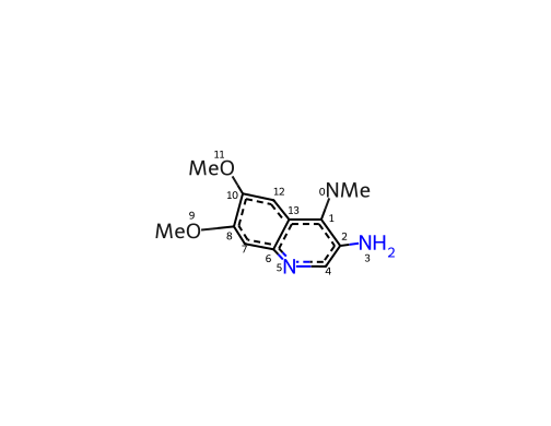 CNc1c(N)cnc2cc(OC)c(OC)cc12